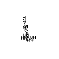 Oc1ccccc1-c1cc2c(nn1)NC[C@H]1CN(C3CCN(c4ncc(C5CCNCC5)cn4)CC3)CCN21